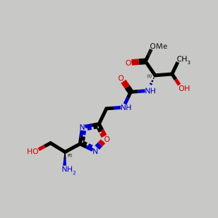 COC(=O)[C@@H](NC(=O)NCc1nc([C@@H](N)CO)no1)C(C)O